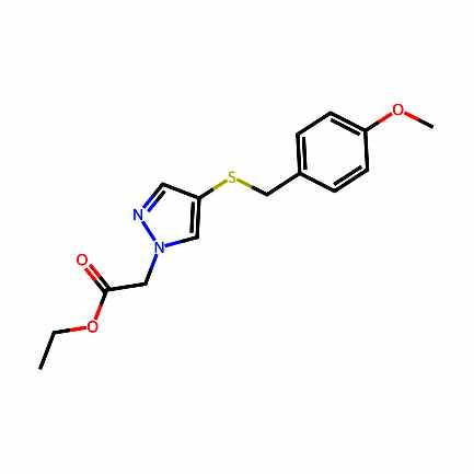 CCOC(=O)Cn1cc(SCc2ccc(OC)cc2)cn1